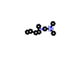 c1ccc(-c2nc(-c3ccccc3)nc(-c3ccc(-n4c5ccccc5c5c6cc(-c7ccc8ccccc8c7)ccc6ccc54)cc3)n2)cc1